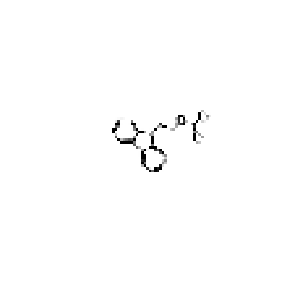 [O]C(=O)OCCC1c2ccccc2-c2ccccc21